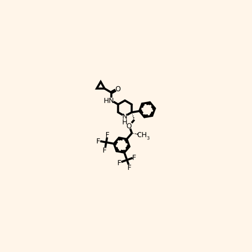 C[C@@H](OC[C@@]1(c2ccccc2)CCC(NC(=O)C2CC2)CN1)c1cc(C(F)(F)F)cc(C(F)(F)F)c1